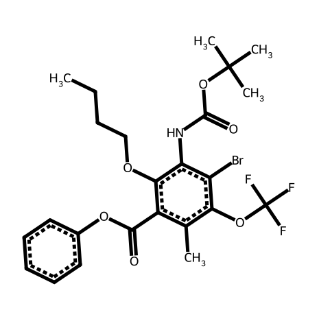 CCCCOc1c(NC(=O)OC(C)(C)C)c(Br)c(OC(F)(F)F)c(C)c1C(=O)Oc1ccccc1